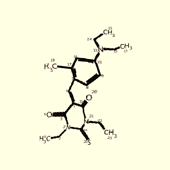 CCN1C(=O)C(=Cc2ccc(N(CC)CC)cc2C)C(=O)N(CC)C1=S